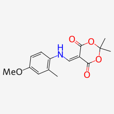 COc1ccc(NC=C2C(=O)OC(C)(C)OC2=O)c(C)c1